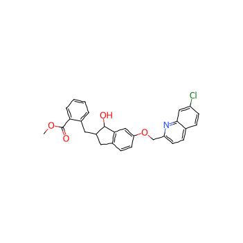 COC(=O)c1ccccc1CC1Cc2ccc(OCc3ccc4ccc(Cl)cc4n3)cc2C1O